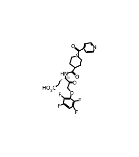 O=C(O)CC[C@H](NC(=O)C1CCN(C(=O)c2ccncc2)CC1)C(=O)COc1c(F)c(F)cc(F)c1F